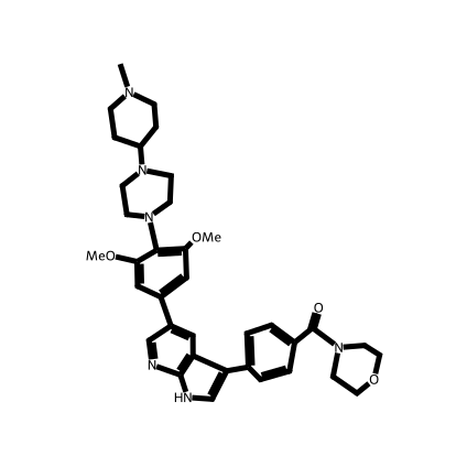 COc1cc(-c2cnc3[nH]cc(-c4ccc(C(=O)N5CCOCC5)cc4)c3c2)cc(OC)c1N1CCN(C2CCN(C)CC2)CC1